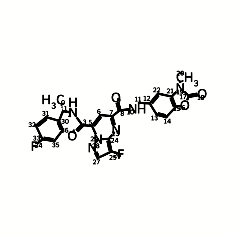 C[C@H](NC(=O)c1cc(C(=O)NCc2ccc3oc(=O)n(C)c3c2)nc2c(F)cnn12)c1ccc(F)cc1